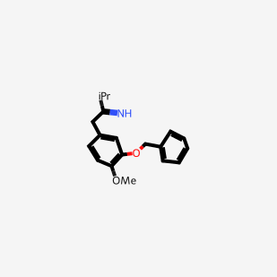 COc1ccc(CC(=N)C(C)C)cc1OCc1ccccc1